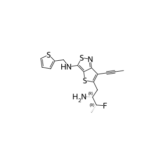 CC#Cc1c(C[C@@H](N)[C@@H](C)F)sc2c(NCc3cccs3)snc12